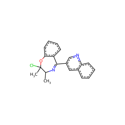 CC1N=C(c2cnc3ccccc3c2)c2ccccc2OC1(C)Cl